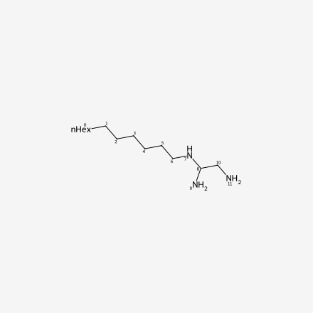 CCCCCCCCCCCCNC(N)CN